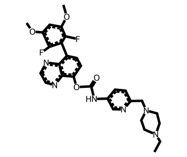 CCN1CCN(Cc2ccc(NC(=O)Oc3ccc(-c4c(F)c(OC)cc(OC)c4F)c4nccnc34)cn2)CC1